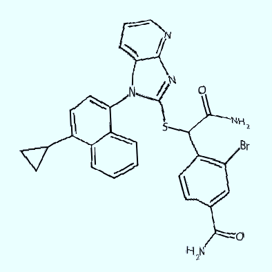 NC(=O)c1ccc(C(Sc2nc3ncccc3n2-c2ccc(C3CC3)c3ccccc23)C(N)=O)c(Br)c1